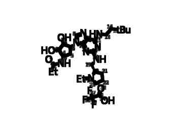 CCC(=O)N[C@H]1C[C@@H](n2cnc3c(NCCC(C)(C)C)nc(NC[C@H]4CCCN4CC)nc32)[C@H](O)[C@@H]1O.O=C(O)C(F)(F)F